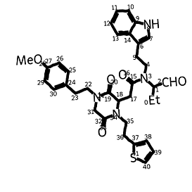 CCC(C=O)N(CCc1c[nH]c2ccccc12)C(=O)CC1C(=O)N(CCc2ccc(OC)cc2)CC(=O)N1CCc1cccs1